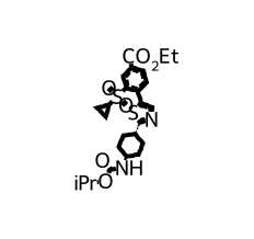 CCOC(=O)c1ccc(-c2cnc([C@H]3CC[C@H](NC(=O)OC(C)C)CC3)s2)c(S(=O)(=O)C2CC2)c1